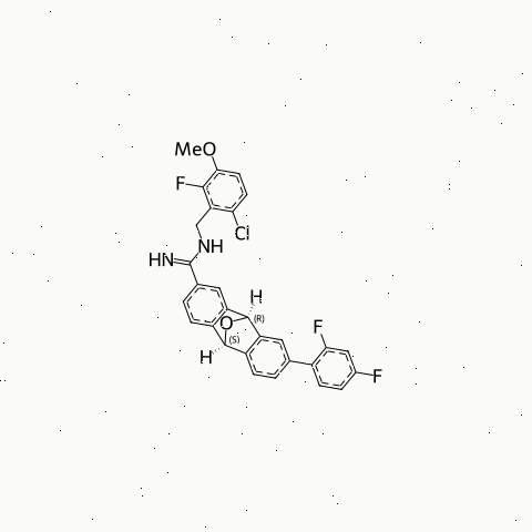 COc1ccc(Cl)c(CNC(=N)c2ccc3c(c2)[C@@H]2O[C@H]3c3ccc(-c4ccc(F)cc4F)cc32)c1F